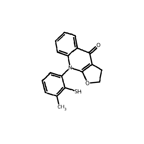 Cc1cccc(-n2c3c(c(=O)c4ccccc42)CCO3)c1S